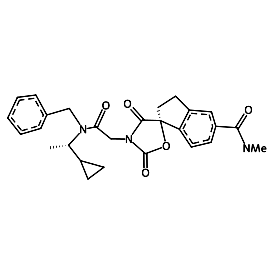 CNC(=O)c1ccc2c(c1)CC[C@@]21OC(=O)N(CC(=O)N(Cc2ccccc2)[C@@H](C)C2CC2)C1=O